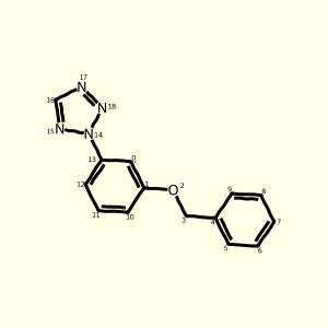 [c]1c(OCc2ccccc2)cccc1-n1ncnn1